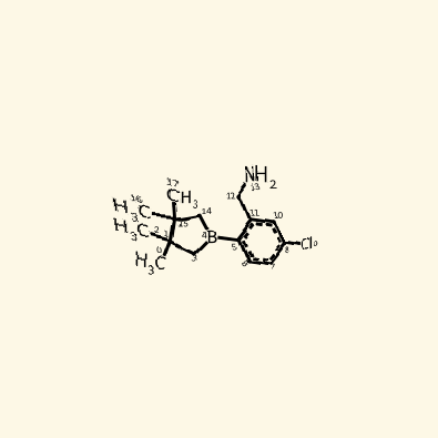 CC1(C)CB(c2ccc(Cl)cc2CN)CC1(C)C